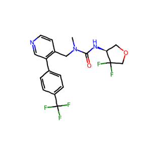 CN(Cc1ccncc1-c1ccc(C(F)(F)F)cc1)C(=O)N[C@H]1COCC1(F)F